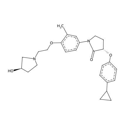 Cc1cc(N2CC[C@H](Oc3ccc(C4CC4)cc3)C2=O)ccc1OCCN1CC[C@@H](O)C1